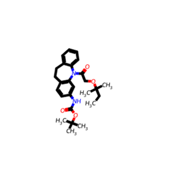 CCC(C)(C)OCC(=O)N1c2ccccc2CCc2ccc(NC(=O)OC(C)(C)C)cc21